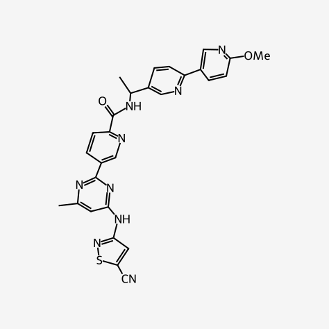 COc1ccc(-c2ccc(C(C)NC(=O)c3ccc(-c4nc(C)cc(Nc5cc(C#N)sn5)n4)cn3)cn2)cn1